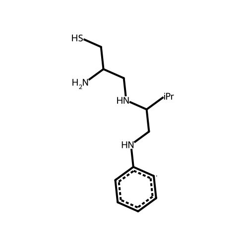 CC(C)C(CNc1[c]cccc1)NCC(N)CS